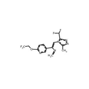 C=N/C(=C\n1c(C)nnc1C(F)F)c1ccc(OCC(F)(F)F)nc1